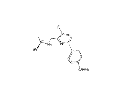 COc1ccc(-c2ccc(F)c(CN[C@H](C)C(C)C)n2)cc1